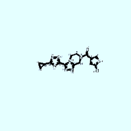 O=C(c1csc(Cl)c1)N1CCn2c(nnc2-c2nc(C3CC3)ns2)C1